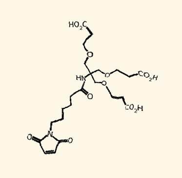 O=C(O)CCOCC(COCCC(=O)O)(COCCC(=O)O)NC(=O)CCCCCN1C(=O)C=CC1=O